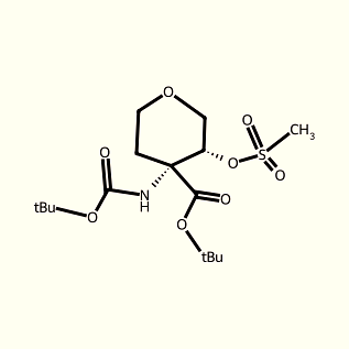 CC(C)(C)OC(=O)N[C@]1(C(=O)OC(C)(C)C)CCOC[C@@H]1OS(C)(=O)=O